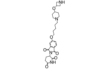 O=C1CCC(N2C(=O)c3ccc(OCCCCCN4CCC(OC5CNC5)CC4)cc3C2=O)C(=O)N1